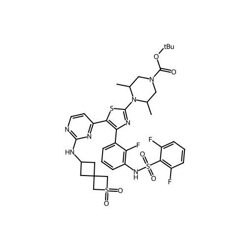 CC1CN(C(=O)OC(C)(C)C)CC(C)N1c1nc(-c2cccc(NS(=O)(=O)c3c(F)cccc3F)c2F)c(-c2ccnc(NC3CC4(C3)CS(=O)(=O)C4)n2)s1